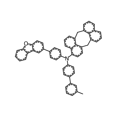 Cc1cccc(-c2ccc(N(c3ccc(-c4ccc5oc6ccccc6c5c4)cc3)c3ccc4c5c(cccc35)Cc3cccc5cccc(c35)C4)cc2)c1